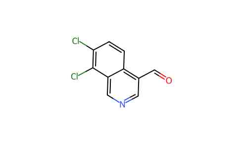 O=Cc1cncc2c(Cl)c(Cl)ccc12